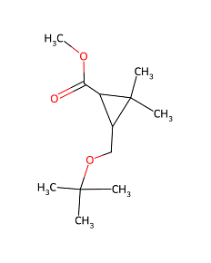 COC(=O)C1C(COC(C)(C)C)C1(C)C